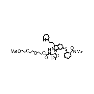 CNC(=O)c1ccccc1Sc1ccc2c(/C=C/c3ccccn3)nn(C(=O)[C@@H](NC(=O)OCCOCCOCCOC)C(C)C)c2c1